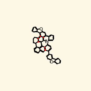 c1ccc(N(c2ccc(-c3ccc4oc5ccccc5c4c3)cc2)c2ccccc2-c2cccc3cccc(C4CCCCC4)c23)c(-c2ccc3c(c2)oc2ccccc23)c1